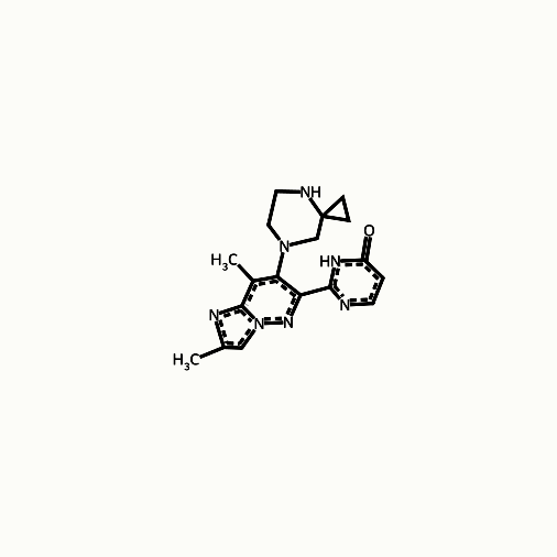 Cc1cn2nc(-c3nccc(=O)[nH]3)c(N3CCNC4(CC4)C3)c(C)c2n1